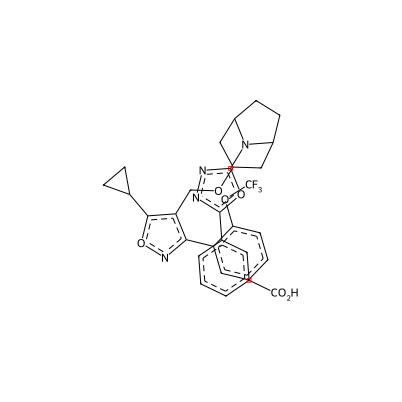 O=C(O)c1cccc(-c2nnc(N3C4CCC3CC(OCc3c(-c5ccccc5OC(F)(F)F)noc3C3CC3)C4)o2)c1